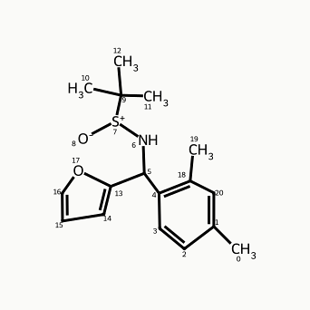 Cc1ccc(C(N[S+]([O-])C(C)(C)C)c2ccco2)c(C)c1